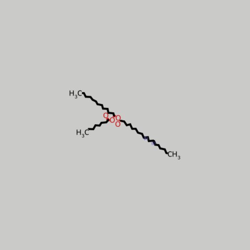 CCCCC/C=C/C/C=C/CCCCCCCC(=O)OC(CCCCCCCCCCCC)OC(=O)CCCCCCC